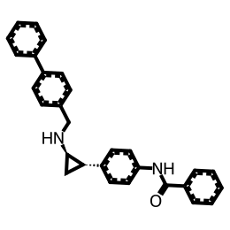 O=C(Nc1ccc([C@@H]2C[C@H]2NCc2ccc(-c3ccccc3)cc2)cc1)c1ccccc1